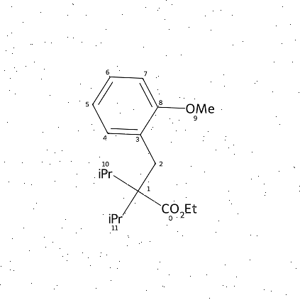 CCOC(=O)C(Cc1ccccc1OC)(C(C)C)C(C)C